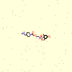 COc1cc(C)c(S(=O)(=O)N(C)CCOCC(=O)N2CCC(CN(C)C)CC2)c(C)c1